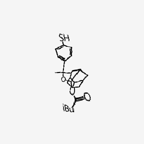 CCC(C)C(=O)OC1C2CC3CC1CC(C2)C3OC(C)(C)c1ccc(S)cc1